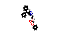 O=C(COc1ccccc1)OCCn1cc(C(c2ccccc2)c2ccccc2)cn1